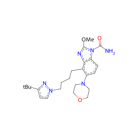 COc1nc2c(CCCCn3ccc(C(C)(C)C)n3)c(N3CCOCC3)ccc2n1C(N)=O